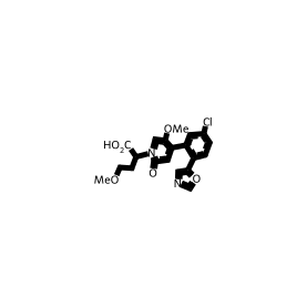 COCCC(C(=O)O)n1cc(OC)c(-c2cc(Cl)ccc2-c2cnco2)cc1=O